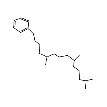 CC(C)CCCC(C)CCCC(C)CCCCc1ccccc1